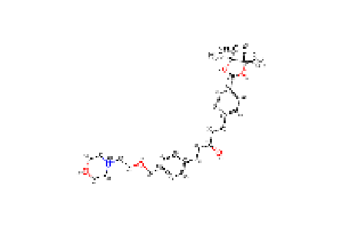 CC1(C)OB(c2ccc(CCC(=O)CCc3ccc(COCCN4CCOCC4)cc3)cc2)OC1(C)C